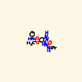 CC(C)NC(=O)Nc1n[nH]c2ccc(OC(C)C(=O)Nc3ccccc3)cc12